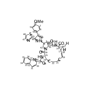 COc1ccc(-c2nn([C@H]3C[C@H]4C(=O)N[C@]5(C(=O)O)C[C@H]5/C=C\CCCCC[C@H](NC(=O)c5ccc6ccccc6n5)C(=O)N4C3)nc2-c2nccs2)cc1